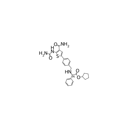 NC(=O)Nc1sc(-c2ccc(CN[C@@H](C(=O)OC3CCCC3)c3ccccc3)cc2)cc1C(N)=O